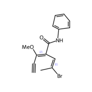 C#C/C(OC)=C(\C=C(/C)Br)C(=O)Nc1ccccc1